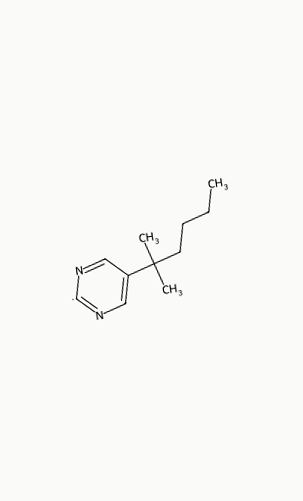 CCCCC(C)(C)c1cn[c]nc1